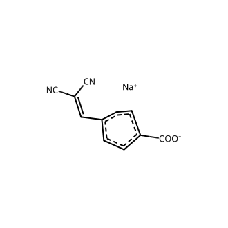 N#CC(C#N)=Cc1ccc(C(=O)[O-])cc1.[Na+]